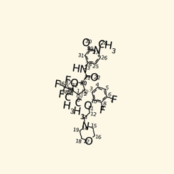 C[C@H]1[C@@H](c2ccc(F)c(F)c2OCCN2CCOCC2)[C@H](C(=O)Nc2ccn(C)c(=O)c2)O[C@@]1(C)C(F)(F)F